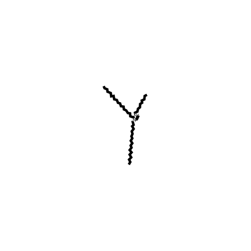 CCCCCCCCCCCCCCCCCCCn1cc[n+](CCCCCCCCCC)c1CCCCCCCCCCCCCCCCCC